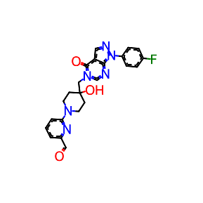 O=Cc1cccc(N2CCC(O)(Cn3cnc4c(cnn4-c4ccc(F)cc4)c3=O)CC2)n1